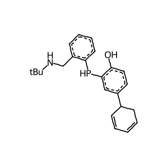 CC(C)(C)NCc1ccccc1Pc1cc(C2C=CC=CC2)ccc1O